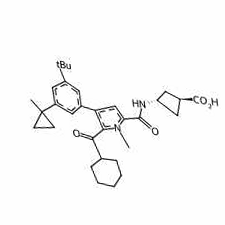 Cn1c(C(=O)N[C@H]2C[C@H](C(=O)O)C2)cc(-c2cc(C(C)(C)C)cc(C3(C)CC3)c2)c1C(=O)C1CCCCC1